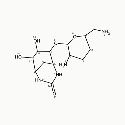 NCC1CCC(N)C(OC2C3CC(NC(=O)N3)C(O)C2O)O1